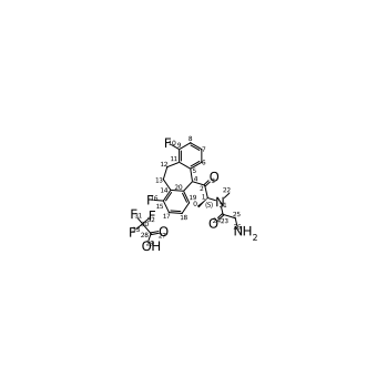 C[C@@H](C(=O)C1c2cccc(F)c2CCc2c(F)cccc21)N(C)C(=O)CN.O=C(O)C(F)(F)F